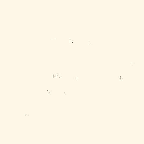 CCOC(=O)Cc1csc(NC(=O)c2cc(Oc3ccc(C(=O)N(C)C)cc3)nc(OC(C)C)c2)n1